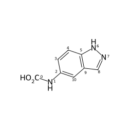 O=C(O)Nc1ccc2[nH]ncc2c1